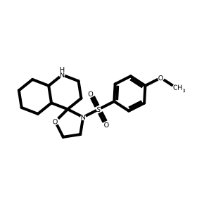 COc1ccc(S(=O)(=O)N2CCOC23CCNC2CCCCC23)cc1